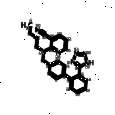 CCCCN(Cc1ccc(-c2ccccc2-c2nnn[nH]2)cc1)c1ncccc1C#N